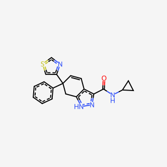 O=C(NC1CC1)c1n[nH]c2c1C=CC(c1ccccc1)(c1cscn1)C2